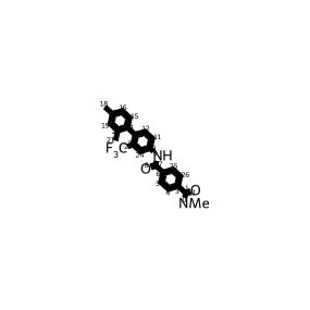 CNC(=O)c1ccc(C(=O)Nc2ccc(-c3ccc(C)cc3C)c(C(F)(F)F)c2)cc1